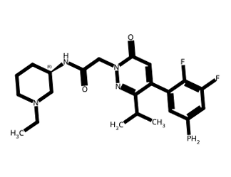 CCN1CCC[C@@H](NC(=O)Cn2nc(C(C)C)c(-c3cc(P)cc(F)c3F)cc2=O)C1